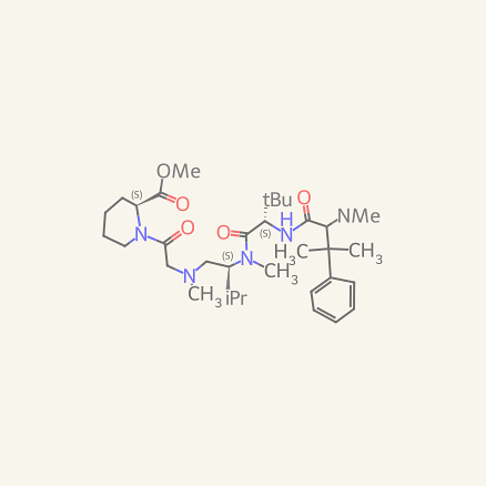 CNC(C(=O)N[C@H](C(=O)N(C)[C@H](CN(C)CC(=O)N1CCCC[C@H]1C(=O)OC)C(C)C)C(C)(C)C)C(C)(C)c1ccccc1